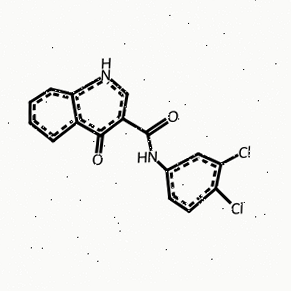 O=C(Nc1ccc(Cl)c(Cl)c1)c1c[nH]c2ccccc2c1=O